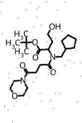 CC(C)(C)OC(=O)C(CCO)N(CC1CCCC1)C(=O)CCC(=O)N1CCOCC1